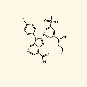 CCC[C@H](N)c1cncc(S(C)(=O)=O)c1.O=C(O)c1cncc2c1ccn2-c1ccc(F)cc1